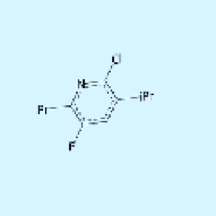 CC(C)c1cc(F)c(C(C)C)nc1Cl